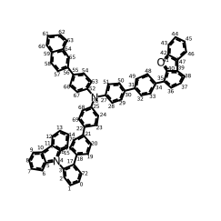 c1ccc(-n2c3ccccc3c3ccccc32)c(-c2ccc(-c3ccc(N(c4ccc(-c5ccc(-c6cccc7c6oc6ccccc67)cc5)cc4)c4ccc(-c5ccc6ccccc6c5)cc4)cc3)cc2)c1